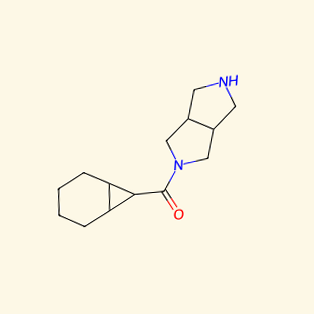 O=C(C1C2CCCCC21)N1CC2CNCC2C1